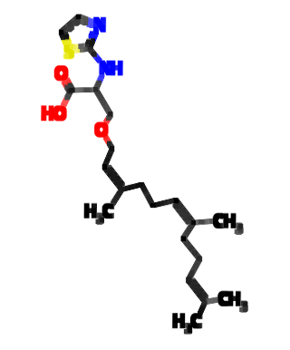 CC(C)=CCCC(C)=CCCC(C)=CCOCC(Nc1nccs1)C(=O)O